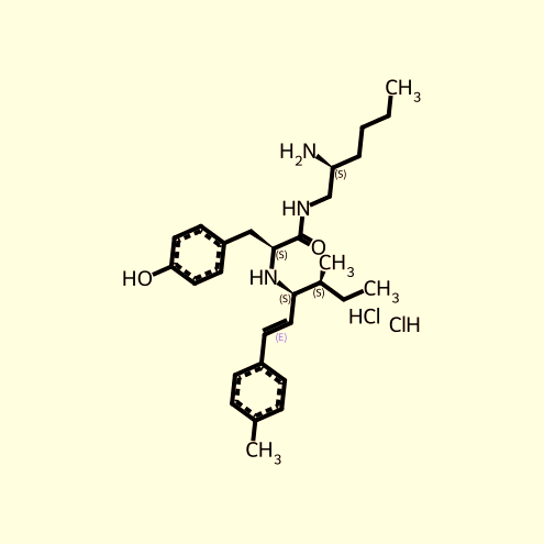 CCCC[C@H](N)CNC(=O)[C@H](Cc1ccc(O)cc1)N[C@H](/C=C/c1ccc(C)cc1)[C@@H](C)CC.Cl.Cl